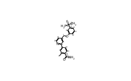 Cc1cc(-c2cc(COc3cccc(C(F)(P)P)c3)ccn2)ccc1C(N)=O